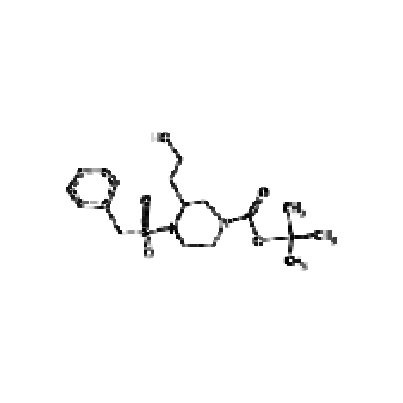 CC(C)(C)OC(=O)N1CCN(S(=O)(=O)Cc2ccccc2)C(CCO)C1